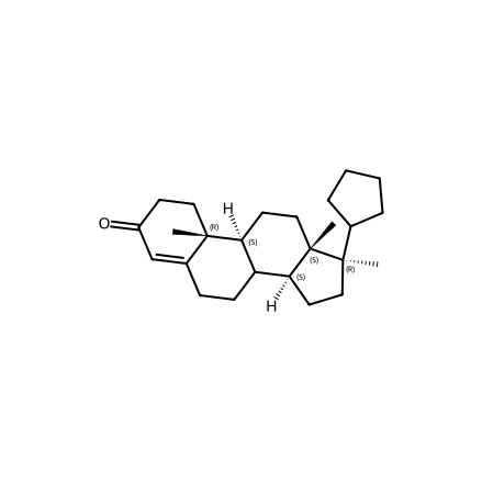 C[C@]12CCC(=O)C=C1CCC1[C@@H]2CC[C@@]2(C)[C@H]1CC[C@]2(C)C1CCCC1